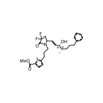 COC(=O)c1ccc(CCCN2C(=O)C(F)(F)CC2C=C[C@H](O)[C@@H](C)CCCc2ccccc2)s1